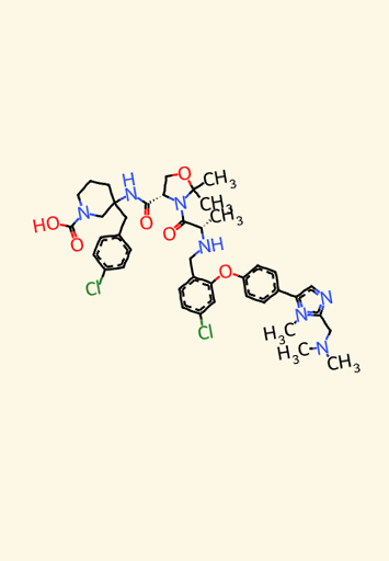 C[C@H](NCc1ccc(Cl)cc1Oc1ccc(-c2cnc(CN(C)C)n2C)cc1)C(=O)N1[C@H](C(=O)NC2(Cc3ccc(Cl)cc3)CCCN(C(=O)O)C2)COC1(C)C